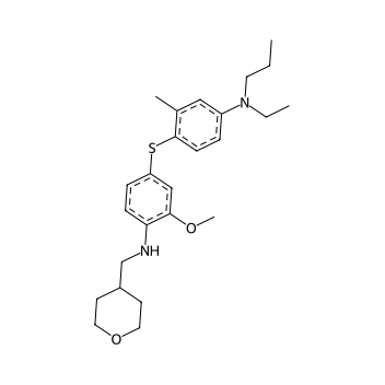 CCCN(CC)c1ccc(Sc2ccc(NCC3CCOCC3)c(OC)c2)c(C)c1